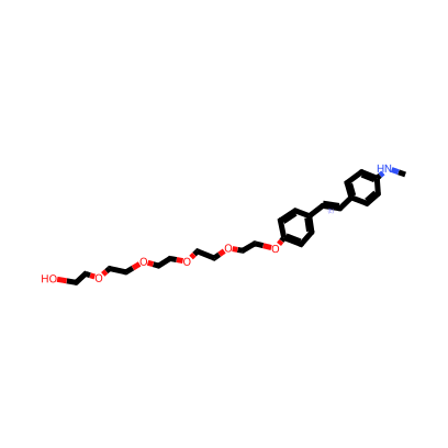 CNc1ccc(/C=C/c2ccc(OCCOCCOCCOCCOCCO)cc2)cc1